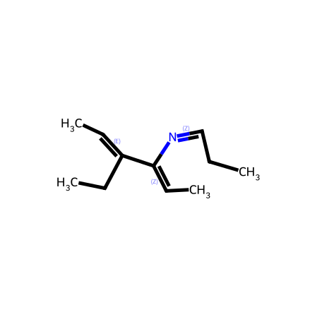 C/C=C(\N=C/CC)C(=C/C)/CC